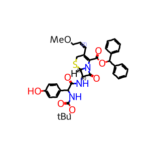 COC/C=C\C1=C(C(=O)OC(c2ccccc2)c2ccccc2)N2C(=O)[C@@H](NC(=O)C(NC(=O)OC(C)(C)C)c3ccc(O)cc3)[C@@H]2SC1